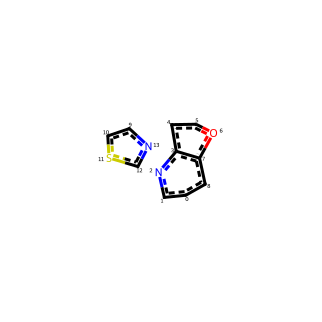 c1cnc2ccoc2c1.c1cscn1